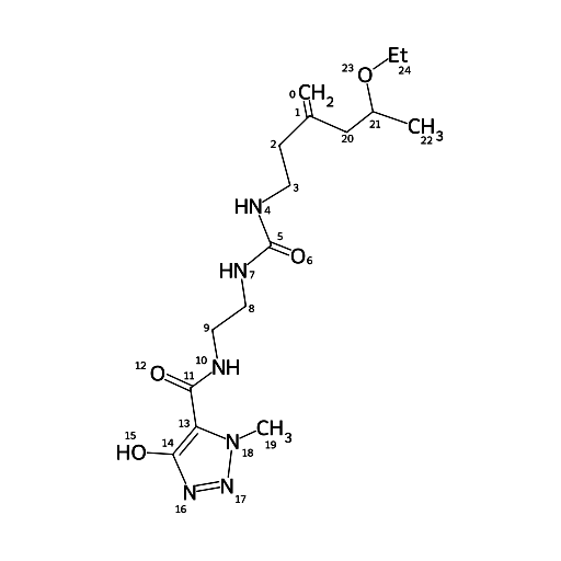 C=C(CCNC(=O)NCCNC(=O)c1c(O)nnn1C)CC(C)OCC